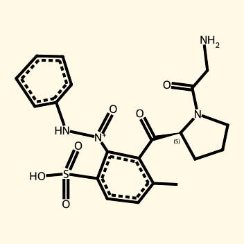 Cc1ccc(S(=O)(=O)O)c([N+](=O)Nc2ccccc2)c1C(=O)[C@@H]1CCCN1C(=O)CN